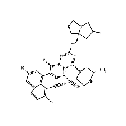 C#Cc1c(P)ccc2cc(O)cc(-c3nc(C#C)c4c(N5CCN[C@@H](C)C5)nc(OC[C@@]56CCCN5CC(F)C6)nc4c3F)c12